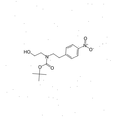 CC(C)(C)OC(=O)N(CCO)CCc1ccc([N+](=O)[O-])cc1